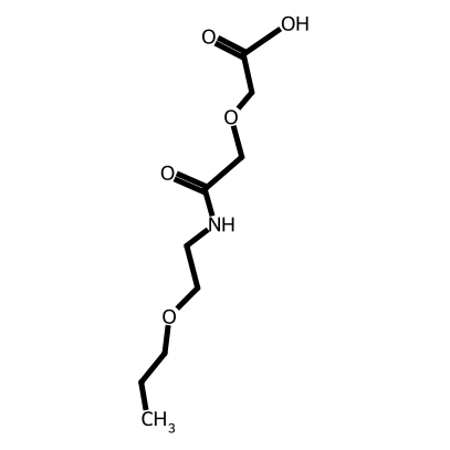 CCCOCCNC(=O)COCC(=O)O